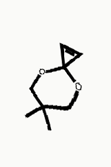 CC1(C)COC2(C=C2)OC1